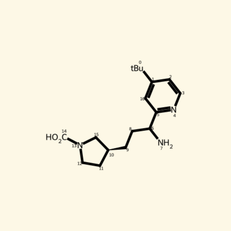 CC(C)(C)c1ccnc(C(N)CC[C@H]2CCN(C(=O)O)C2)c1